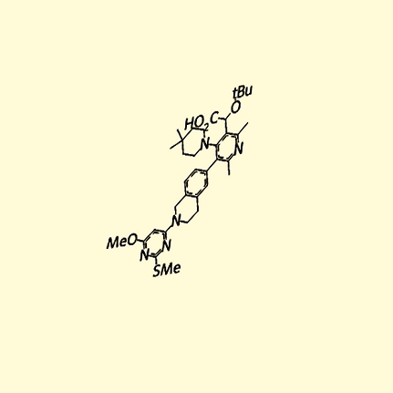 COc1cc(N2CCc3cc(-c4c(C)nc(C)c(C(OC(C)(C)C)C(=O)O)c4N4CCC(C)(C)CC4)ccc3C2)nc(SC)n1